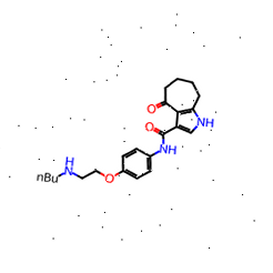 CCCCNCCOc1ccc(NC(=O)c2c[nH]c3c2C(=O)CCCC3)cc1